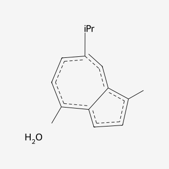 Cc1ccc(C(C)C)cc2c(C)ccc1-2.O